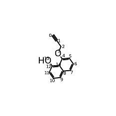 C#CCOc1cccc2cccc(O)c12